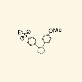 CCS(=O)(=O)c1ccc(C2=C(c3ccc(OC)cc3)CCC2)cc1